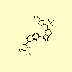 C=C(NC(C)C)c1ccc2ccc(-c3nnc4ccc([C@H](N5CC[C@@H](N)C5)C(F)(F)F)cn34)nc2c1